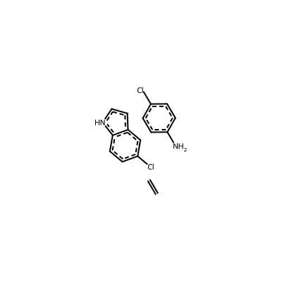 C=C.Clc1ccc2[nH]ccc2c1.Nc1ccc(Cl)cc1